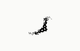 Cc1cnc(-c2cc3cc4ccc5cc6cc(-c7ncc(C)o7)sc6cc5c4cc3s2)o1